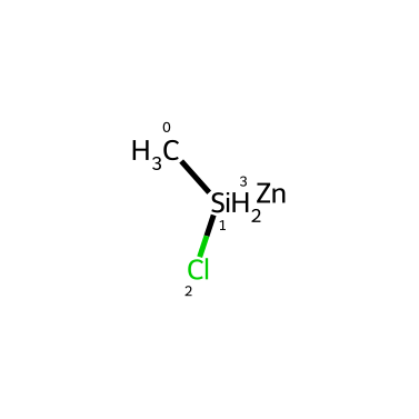 C[SiH2]Cl.[Zn]